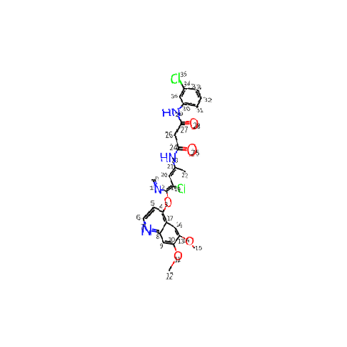 C=N/C(Oc1ccnc2cc(OC)c(OC)cc12)=C(Cl)\C=C(/C)NC(=O)CC(=O)Nc1cccc(Cl)c1